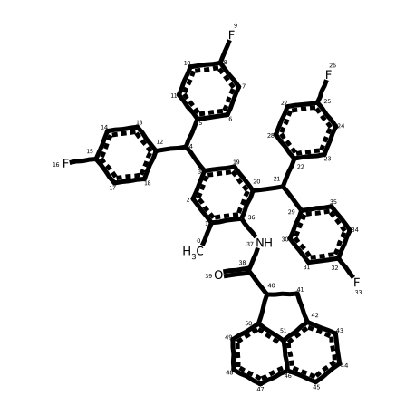 Cc1cc(C(c2ccc(F)cc2)c2ccc(F)cc2)cc(C(c2ccc(F)cc2)c2ccc(F)cc2)c1NC(=O)C1Cc2cccc3cccc1c23